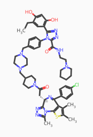 CCc1cc(-c2nnc(C(=O)NCCN3CCCCC3)n2-c2ccc(CN3CCN(CC4CCN(C(=O)C[C@@H]5N=C(c6ccc(Cl)cc6)c6c(sc(C)c6C)-n6c(C)nnc65)CC4)CC3)cc2)c(O)cc1O